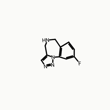 Fc1ccc2c(c1)-n1nncc1CNC2